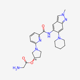 Cn1cc2cc(NC(=O)c3cccc(N4CC[C@@H](OC(=O)CN)C4)n3)c(N3CCCCC3)cc2n1